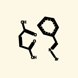 BrN=Cc1ccccc1.O=C(O)/C=C\C(=O)O